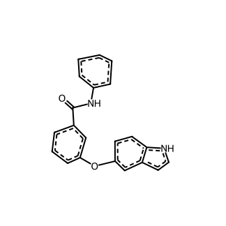 O=C(Nc1ccccc1)c1cccc(Oc2ccc3[nH]ccc3c2)c1